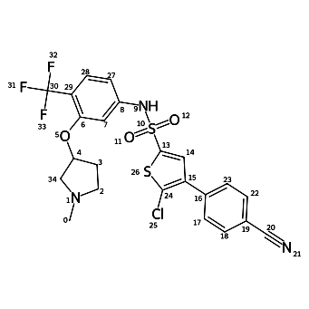 CN1CCC(Oc2cc(NS(=O)(=O)c3cc(-c4ccc(C#N)cc4)c(Cl)s3)ccc2C(F)(F)F)C1